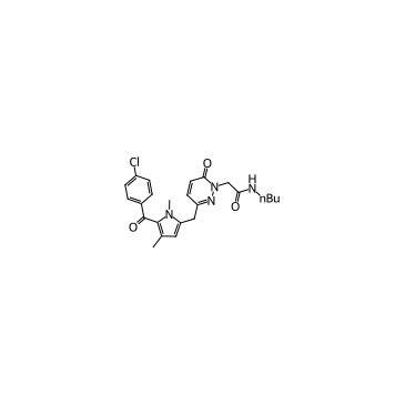 CCCCNC(=O)Cn1nc(Cc2cc(C)c(C(=O)c3ccc(Cl)cc3)n2C)ccc1=O